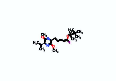 COC1=N[C@H](C(C)C)C(OC)=N[C@H]1CCC/C=C(/I)O[Si](C)(C)C(C)(C)C